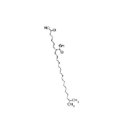 CC(C)CCCCCCCCCCCCCCCC(CCCCCC(=O)O)C(=O)O